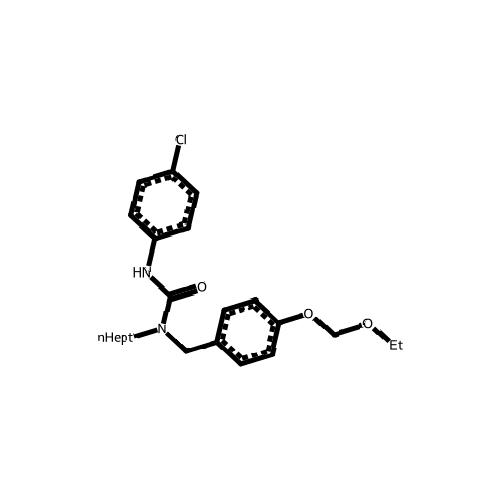 CCCCCCCN(Cc1ccc(OCOCC)cc1)C(=O)Nc1ccc(Cl)cc1